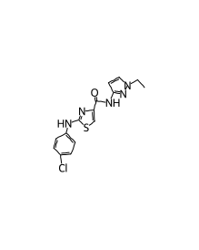 CCn1ccc(NC(=O)c2csc(Nc3ccc(Cl)cc3)n2)n1